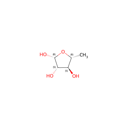 C[C@H]1O[C@@H](O)[C@@H](O)[C@@H]1O